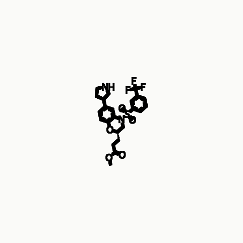 COC(=O)CC[C@H]1CN(S(=O)(=O)c2cccc(C(F)(F)F)c2)c2cc(C3CCNC3)ccc2O1